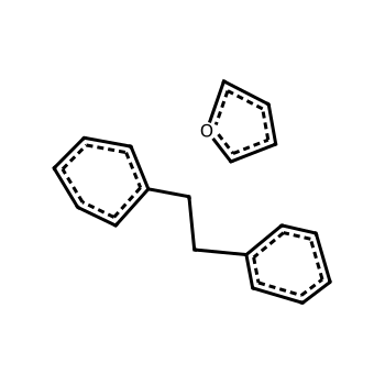 c1ccc(CCc2ccccc2)cc1.c1ccoc1